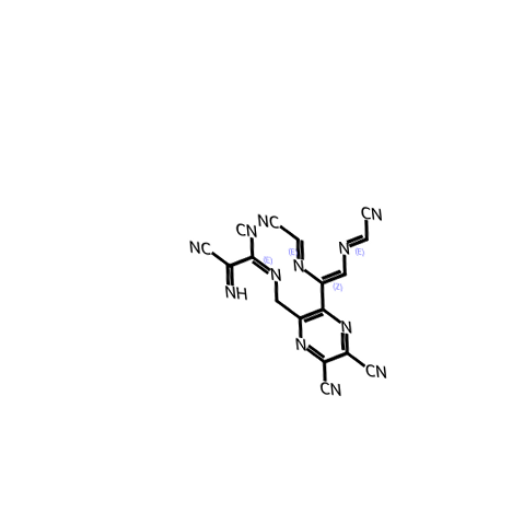 N#C/C=N/C=C(\N=C\C#N)c1nc(C#N)c(C#N)nc1C/N=C(/C#N)C(=N)C#N